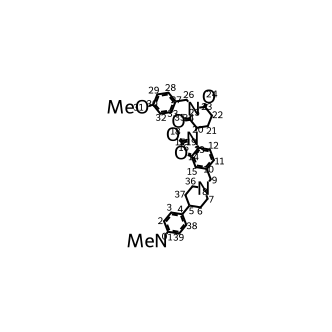 CNc1ccc(C2CCN(Cc3ccc4c(c3)oc(=O)n4C3CCC(=O)N(Cc4ccc(OC)cc4)C3=O)CC2)cc1